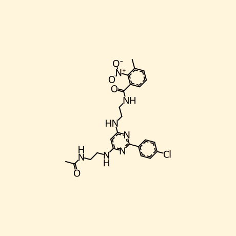 CC(=O)NCCNc1cc(NCCNC(=O)c2cccc(C)c2[N+](=O)[O-])nc(-c2ccc(Cl)cc2)n1